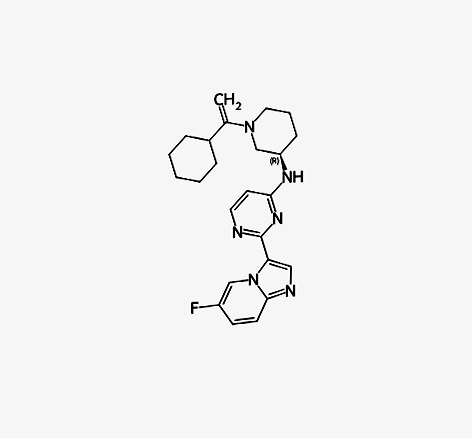 C=C(C1CCCCC1)N1CCC[C@@H](Nc2ccnc(-c3cnc4ccc(F)cn34)n2)C1